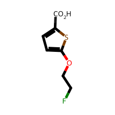 O=C(O)c1ccc(OCCF)s1